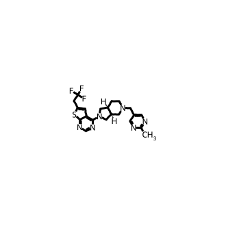 Cc1ncc(CN2CC[C@@H]3CN(c4ncnc5sc(CC(F)(F)F)cc45)C[C@@H]3C2)cn1